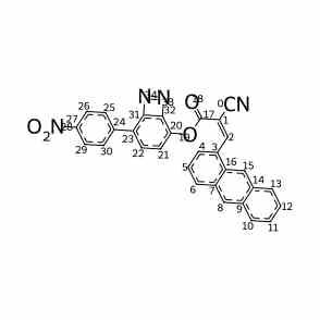 N#CC(=Cc1cccc2cc3ccccc3cc12)C(=O)Oc1ccc(-c2ccc([N+](=O)[O-])cc2)c2c1N=N2